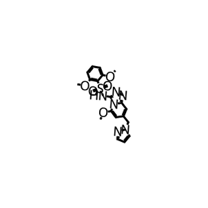 COc1cccc(OC)c1S(=O)(=O)Nc1nnc2cc(Cn3cccn3)cc(OC)n12